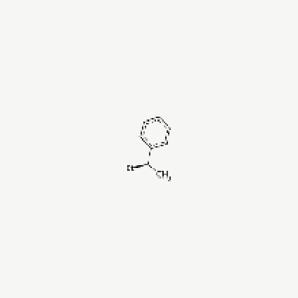 CC[C@H](C)c1ccccc1